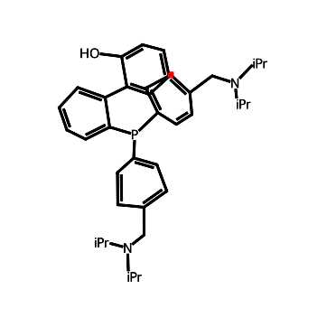 CC(C)N(Cc1ccc(P(c2ccc(CN(C(C)C)C(C)C)cc2)c2ccccc2-c2ccccc2O)cc1)C(C)C